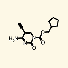 C#Cc1cn(C(=O)OCC2CCCC2)c(=O)nc1N